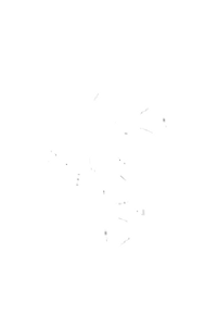 CCOC(=O)CC1CC2(CCN(C(=O)[C@@H](Cc3c[nH]c4ccc(F)cc34)NC(=O)C(C)(C)N)CC2)c2ccccc21